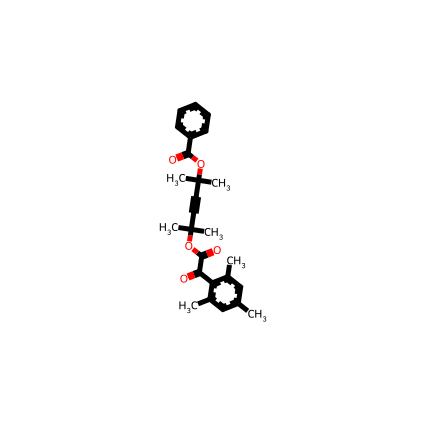 Cc1cc(C)c(C(=O)C(=O)OC(C)(C)C#CC(C)(C)OC(=O)c2ccccc2)c(C)c1